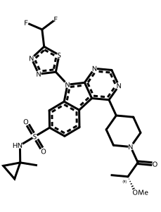 CO[C@H](C)C(=O)N1CCC(c2ncnc3c2c2ccc(S(=O)(=O)NC4(C)CC4)cc2n3-c2nnc(C(F)F)s2)CC1